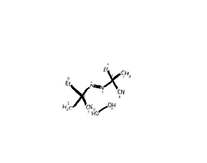 CCC(C)(C#N)N=NC(C)(C#N)CC.OO